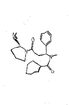 CN(C(=O)C1CCCCC1)[C@@H](CC(=O)N1CCC[C@H]1C#N)c1ccccc1